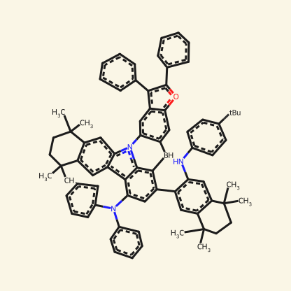 CC(C)(C)c1ccc(Nc2cc3c(cc2-c2cc(N(c4ccccc4)c4ccccc4)c4c5cc6c(cc5n5c4c2Bc2cc4oc(-c7ccccc7)c(-c7ccccc7)c4cc2-5)C(C)(C)CCC6(C)C)C(C)(C)CCC3(C)C)cc1